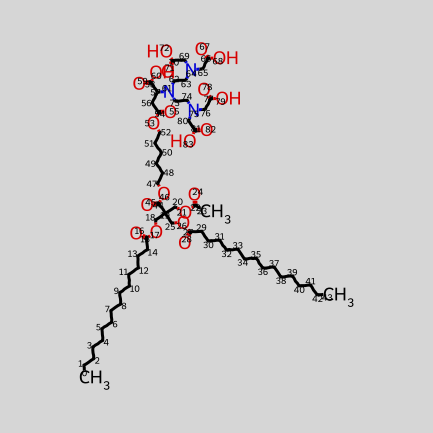 CCCCCCCCCCCCCCCC(=O)OCC(COC(C)=O)(COC(=O)CCCCCCCCCCCCCCC)C(=O)OCCCCCCOC(=O)CC(C(=O)O)N(CCN(CC(=O)O)CC(=O)O)CCN(CC(=O)O)CC(=O)O